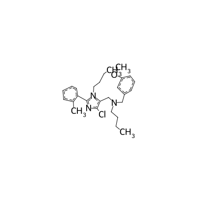 CCCCN(Cc1cccc(OC)c1)Cc1c(Cl)nc(-c2ccccc2C)n1CCCC